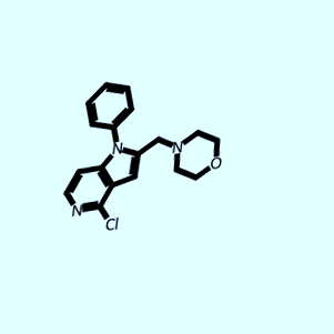 Clc1nccc2c1cc(CN1CCOCC1)n2-c1ccccc1